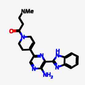 CNCCC(=O)N1CC=C(c2cnc(N)c(-c3nc4ccccc4[nH]3)n2)CC1